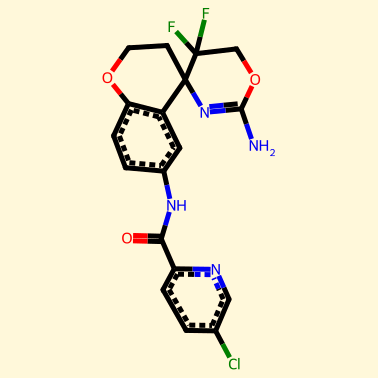 NC1=NC2(CCOc3ccc(NC(=O)c4ccc(Cl)cn4)cc32)C(F)(F)CO1